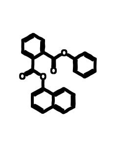 O=C(Oc1ccccc1)c1ccccc1C(=O)Oc1cccc2ccccc12